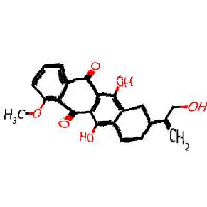 C=C(CO)C1CCc2c(O)c3c(c(O)c2C1)C(=O)c1cccc(OC)c1C3=O